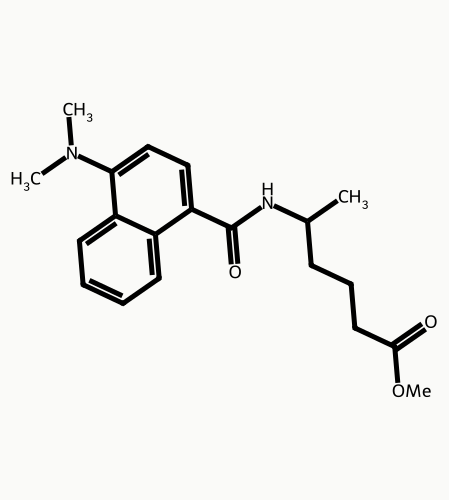 COC(=O)CCCC(C)NC(=O)c1ccc(N(C)C)c2ccccc12